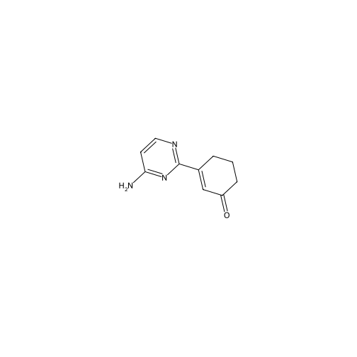 Nc1ccnc(C2=CC(=O)CCC2)n1